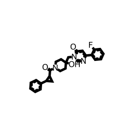 O=C(C1CC1c1ccccc1)N1CCC(O)(Cn2cnc(-c3ccccc3F)cc2=O)CC1